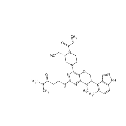 C=CC(=O)N1CCN(c2nc(NCCC(=O)N(C)C)nc3c2OCC(c2c(C)ccc4[nH]ncc24)N3C)C[C@@H]1CC#N